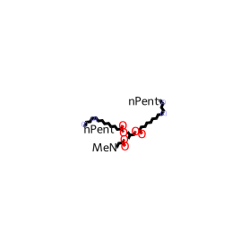 CCCCC/C=C\C/C=C\CCCCCCCC(=O)OCC(COC(=O)CCCCCCC/C=C\C/C=C\CCCCC)COC(=O)CCNC